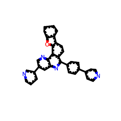 c1cncc(-c2cnc3c(c2)nc(-c2ccc(-c4ccncc4)cc2)c2ccc4c5ccccc5oc4c23)c1